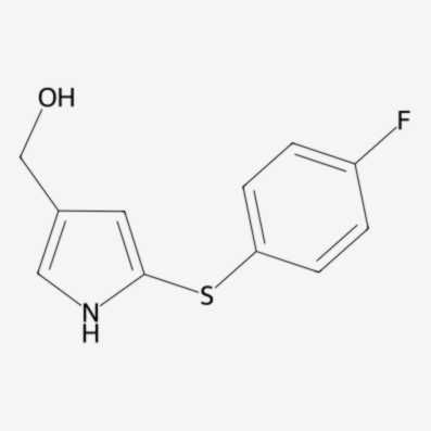 OCc1c[nH]c(Sc2ccc(F)cc2)c1